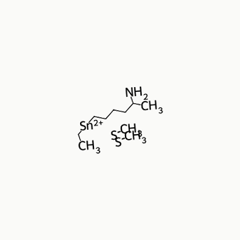 C[CH2][Sn+2][CH2]CCCC(C)N.C[S-].C[S-]